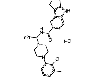 CCCC(NC(=O)c1ccc2[nH]c3c(c2c1)CCC3)N1CCN(c2cccc(C)c2Cl)CC1.Cl